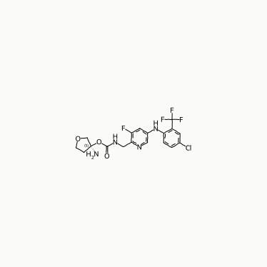 N[C@]1(OC(=O)NCc2ncc(Nc3ccc(Cl)cc3C(F)(F)F)cc2F)CCOC1